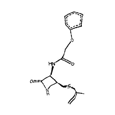 C=C(C)S[C@H]1NC(=O)[C@H]1NC(=O)COc1ccccc1